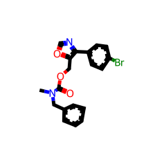 CN(Cc1ccccc1)C(=O)OCc1ocnc1-c1ccc(Br)cc1